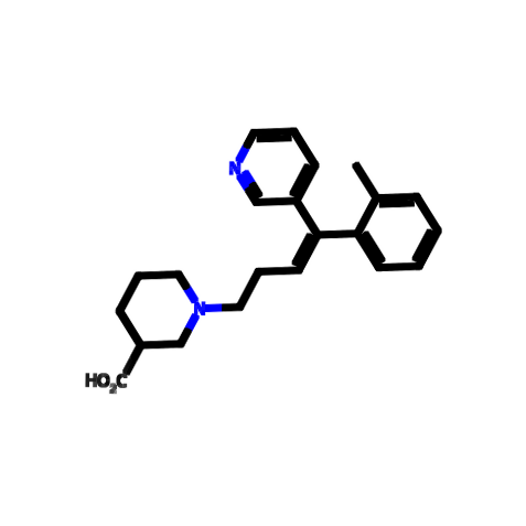 Cc1ccccc1/C(=C/CCN1CCCC(C(=O)O)C1)c1cccnc1